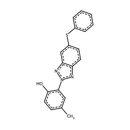 Cc1ccc(O)c(-n2nc3ccc(Sc4ccccc4)cc3n2)c1